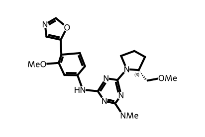 CNc1nc(Nc2ccc(-c3cnco3)c(OC)c2)nc(N2CCC[C@@H]2COC)n1